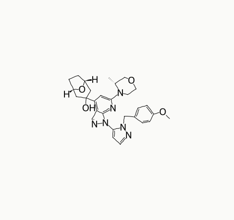 COc1ccc(Cn2nccc2-n2ncc3c(C4(O)C[C@H]5CC[C@@H](C4)O5)cc(N4CCOC[C@H]4C)nc32)cc1